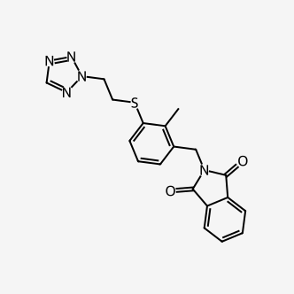 Cc1c(CN2C(=O)c3ccccc3C2=O)cccc1SCCn1ncnn1